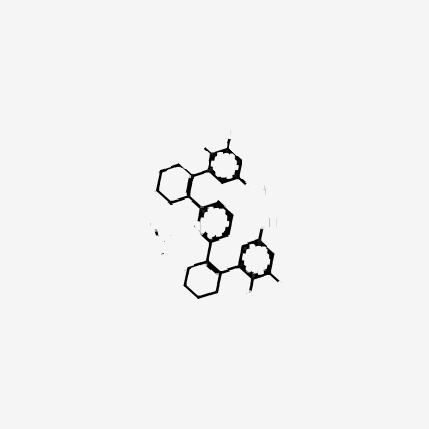 Cc1cc(C2=C(c3cccc(C4=C(c5cc(C)cc(C(C)(C)C)c5[O-])CCCC4)n3)CCCC2)c([O-])c(C(C)(C)C)c1.[CH3][Hf+2][CH3]